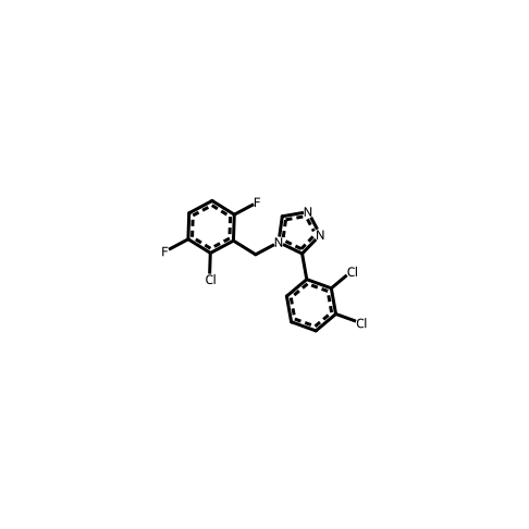 Fc1ccc(F)c(Cn2cnnc2-c2cccc(Cl)c2Cl)c1Cl